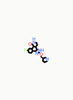 O=c1[nH]ccc2c3[nH]c(OCc4cccnc4)nc3c3ccc(F)cc3c12